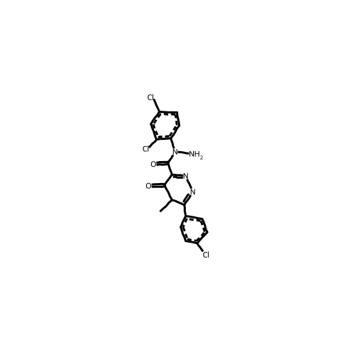 CC1C(=O)C(C(=O)N(N)c2ccc(Cl)cc2Cl)=NN=C1c1ccc(Cl)cc1